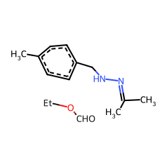 CC(C)=NNCc1ccc(C)cc1.CCOC=O